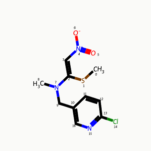 CS/C(=C\[N+](=O)[O-])N(C)Cc1ccc(Cl)nc1